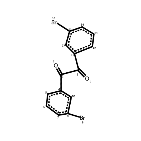 O=C(C(=O)c1cccc(Br)c1)c1cccc(Br)c1